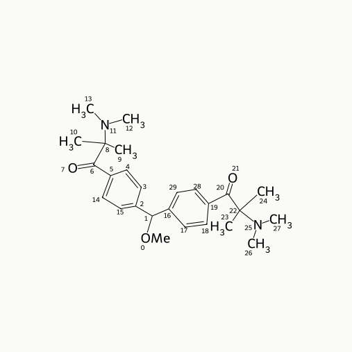 COC(c1ccc(C(=O)C(C)(C)N(C)C)cc1)c1ccc(C(=O)C(C)(C)N(C)C)cc1